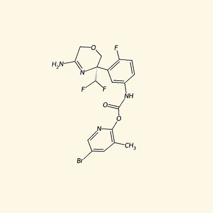 Cc1cc(Br)cnc1OC(=O)Nc1ccc(F)c([C@]2(C(F)F)COCC(N)=N2)c1